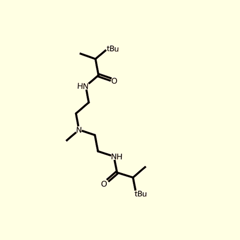 CC(C(=O)NCCN(C)CCNC(=O)C(C)C(C)(C)C)C(C)(C)C